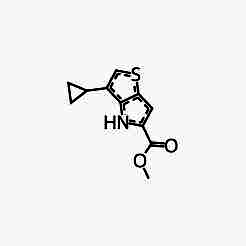 COC(=O)c1cc2scc(C3CC3)c2[nH]1